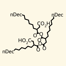 CCCCCCCCCCCCCCCCCC(CC(=O)OC(=O)C(CCCCCCCCCCCCCCCC)CC(=O)O)C(=O)OC(=O)C(CCCCCCCCCCCCCCCC)CC(=O)O